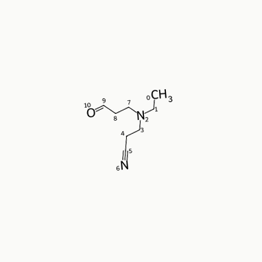 CCN(CCC#N)CCC=O